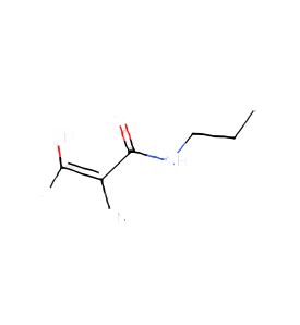 CC(C)CCNC(=O)/C(C#N)=C(\O)C(F)(F)F